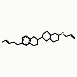 C=CCOC1CCC2CC(C3CCc4cc(CCC=CC)ccc4C3)CCC2C1